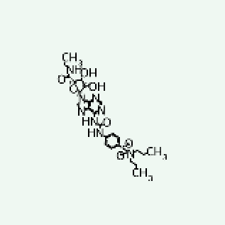 CCCN(CCC)S(=O)(=O)c1ccc(NC(=O)Nc2ncnc3c2ncn3[C@@H]2O[C@H](C(=O)NCC)C(O)[C@@H]2O)cc1